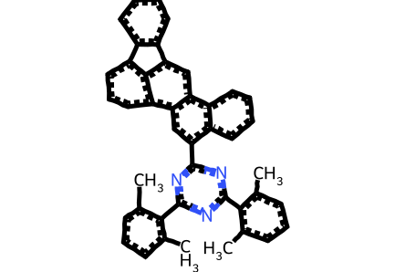 Cc1cccc(C)c1-c1nc(-c2c(C)cccc2C)nc(-c2cc3c4cccc5c4c(cc3c3ccccc23)-c2ccccc2-5)n1